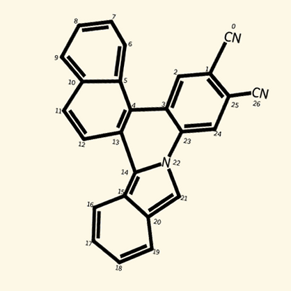 N#Cc1cc2c3c4ccccc4ccc3c3c4ccccc4cn3c2cc1C#N